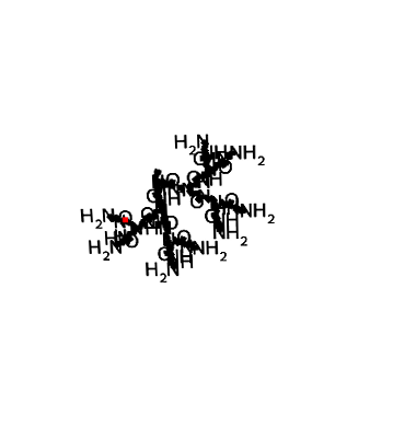 C#CCN(CCC(=O)NCCN(CCC(=O)NCCN(CCC(=O)NCCN)CCC(=O)NCCN)CCC(=O)NCCN(CCC(=O)NCCN)CCC(=O)NCCN)CCC(=O)NCCN(CCC(=O)NCCN(CCC(=O)NCCN)CCC(=O)NCCN)CCC(=O)NCCN(CCC(=O)NCCN)CCC(=O)NCCN